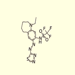 CCN1CCCCc2cc(N=Nc3nncs3)c(NS(=O)(=O)C(F)(F)F)cc21